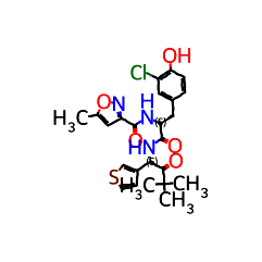 Cc1cc(C(=O)N[C@@H](Cc2ccc(O)c(Cl)c2)C(=O)N[C@H](C(=O)C(C)(C)C)c2ccsc2)no1